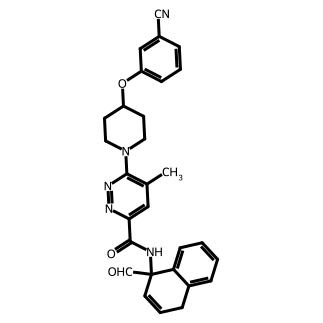 Cc1cc(C(=O)NC2(C=O)C=CCc3ccccc32)nnc1N1CCC(Oc2cccc(C#N)c2)CC1